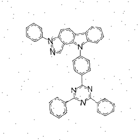 c1ccc(-c2nc(-c3ccccc3)nc(-c3ccc(-n4c5ccccc5c5ccc6c(cnn6-c6ccccc6)c54)cc3)n2)cc1